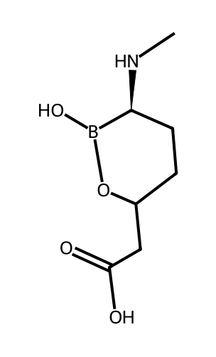 CN[C@H]1CCC(CC(=O)O)OB1O